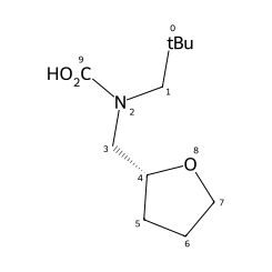 CC(C)(C)CN(C[C@H]1CCCO1)C(=O)O